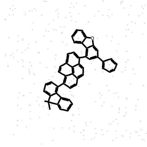 CC1(C)c2ccccc2-c2c(-c3ccc4ccc5c(-c6cc(-c7ccccc7)cc7oc8ccccc8c67)ccc6ccc3c4c65)cccc21